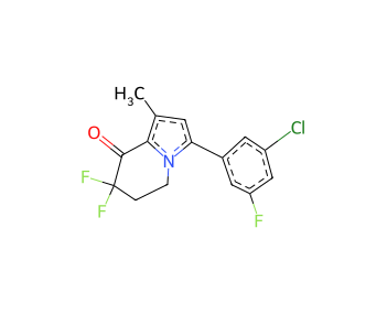 Cc1cc(-c2cc(F)cc(Cl)c2)n2c1C(=O)C(F)(F)CC2